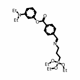 CCO[Si](CCCN=Cc1ccc(C(=O)Oc2cccc(N(CC)CC)c2)cc1)(OCC)OCC